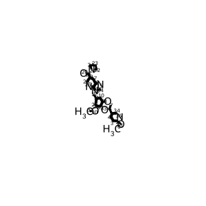 COc1ccc(C2COc3cc(Cn4cnc5cc(C(=O)N6CCC6)cnc54)cc(OC)c3O2)cn1